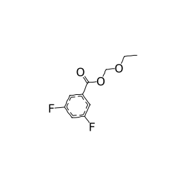 CCOCOC(=O)c1cc(F)cc(F)c1